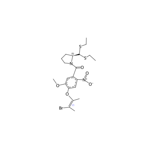 CCSC(SCC)[C@@H]1CCCN1C(=O)c1cc(OC)c(O/C(C)=C(/C)Br)cc1[N+](=O)[O-]